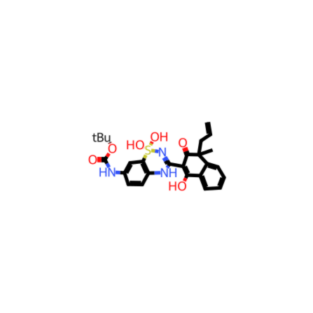 C=CCC1(C)C(=O)C(C2=NS(O)(O)c3cc(NC(=O)OC(C)(C)C)ccc3N2)=C(O)c2ccccc21